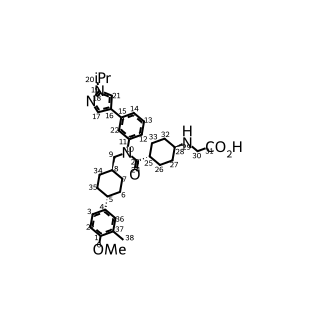 COc1ccc([C@H]2CC[C@H](CN(c3cccc(-c4cnn(C(C)C)c4)c3)C(=O)[C@H]3CC[C@H](NCC(=O)O)CC3)CC2)cc1C